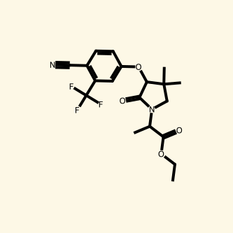 CCOC(=O)C(C)N1CC(C)(C)C(Oc2ccc(C#N)c(C(F)(F)F)c2)C1=O